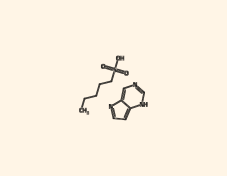 CCCCCS(=O)(=O)O.c1cc2[nH]cncc-2n1